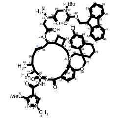 COc1nn(C)cc1C(=O)NS1(=O)=NC(=O)c2ccc3c(c2)N(CC2CCC2C(OC(=O)CN(C)C(=O)CN(C(=O)OCC2c4ccccc4-c4ccccc42)C(C)(C)C)/C=C/CC(C)C1C)CC1(CCCc2cc(Cl)ccc21)CO3